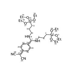 CCO[Si](CCCNC(NCCC[Si](OCC)(OCC)OCC)=c1ccc(=C(C#N)C#N)cc1)(OCC)OCC